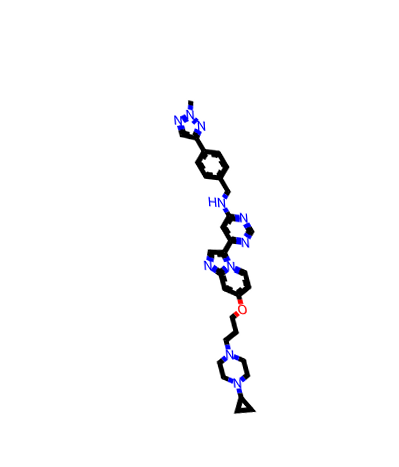 Cn1ncc(-c2ccc(CNc3cc(-c4cnc5cc(OCCCN6CCN(C7CC7)CC6)ccn45)ncn3)cc2)n1